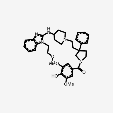 CCOCCn1c(NC2CCN(CCC3(c4ccccc4)CCN(C(=O)c4cc(OC)c(O)c(OC)c4)C3)CC2)nc2ccccc21